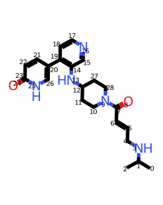 CC(C)NCC=CC(=O)N1CCC(Nc2cnccc2-c2ccc(=O)[nH]c2)CC1